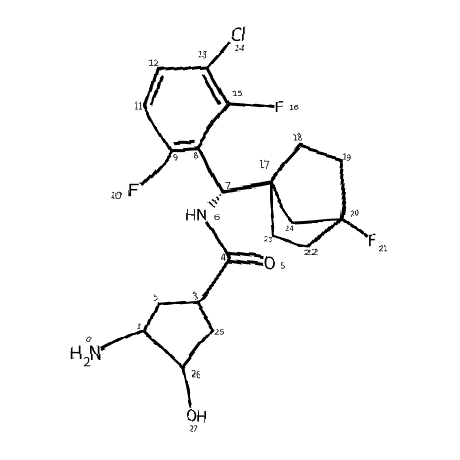 NC1CC(C(=O)N[C@H](c2c(F)ccc(Cl)c2F)C23CCC(F)(CC2)C3)CC1O